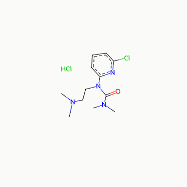 CN(C)CCN(C(=O)N(C)C)c1cccc(Cl)n1.Cl